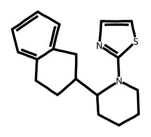 c1ccc2c(c1)CCC(C1CCCCN1c1nccs1)C2